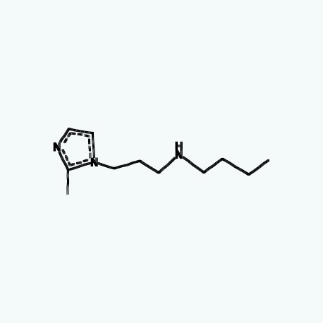 CCCCNCCCn1ccnc1C